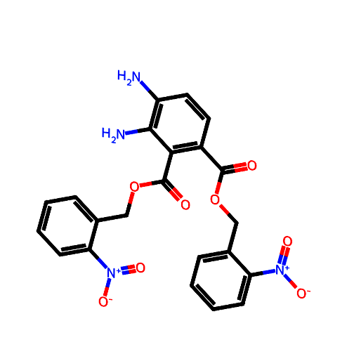 Nc1ccc(C(=O)OCc2ccccc2[N+](=O)[O-])c(C(=O)OCc2ccccc2[N+](=O)[O-])c1N